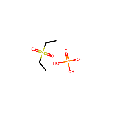 CCS(=O)(=O)CC.O=P(O)(O)O